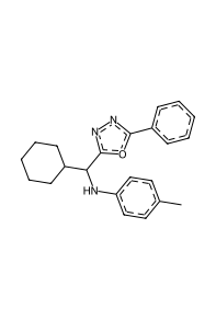 Cc1ccc(NC(c2nnc(-c3ccccc3)o2)C2CCCCC2)cc1